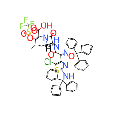 CC1C[C@@H]2[C@H](NC(=O)C(=NOC(c3ccccc3)(c3ccccc3)c3ccccc3)c3nc(NC(c4ccccc4)(c4ccccc4)c4ccccc4)sc3Cl)C(=O)N2C(C(=O)O)=C1OS(=O)(=O)C(F)(F)F